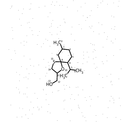 CC1CCC(C(C)C)C2(C1)OC(CO)CS2